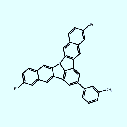 Cc1cccc(-c2cc3c4cc5cc(C(C)C)ccc5cc4n4c5cc6ccc(C(C)C)cc6cc5c(c2)c34)c1